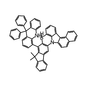 CC1(C)c2ccccc2-c2cc3c(c(-c4cccc5c4Nc4ccccc4C5(c4ccccc4)c4ccccc4)c21)Bc1cccc2c4c5ccccc5ccc4n-3c12